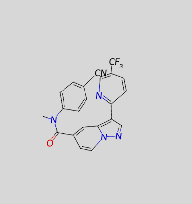 CN(C(=O)c1ccn2ncc(-c3ccc(C(F)(F)F)cn3)c2c1)c1ccc(C#N)cc1